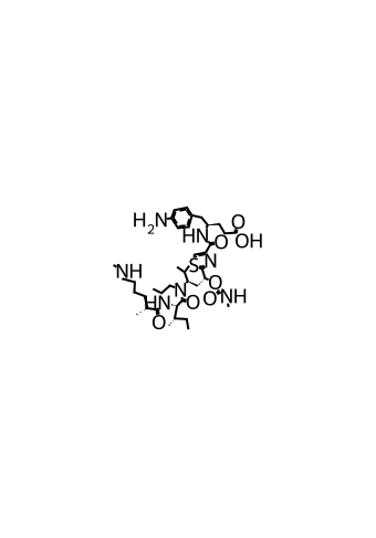 CCCN(C(=O)[C@@H](NC(=O)[C@H](C)CCCCNC)[C@@H](C)CC)[C@H](C[C@@H](OC(=O)NC)c1nc(C(=O)N[C@H](CCC(=O)O)Cc2ccc(N)cc2)cs1)C(C)C